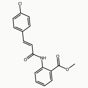 COC(=O)c1ccccc1NC(=O)/C=C/c1ccc(Cl)cc1